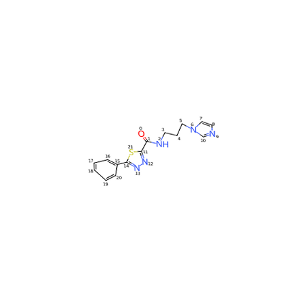 O=C(NCCCn1ccnc1)c1nnc(-c2ccccc2)s1